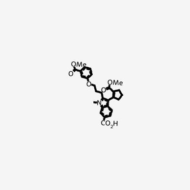 COC(=O)C1=C(c2c(CCCOc3cccc(C(=O)OC)c3)n(C)c3cc(C(=O)O)ccc23)CCC1